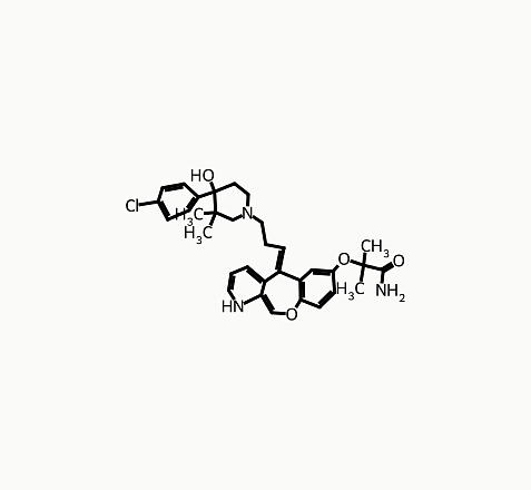 CC(C)(Oc1ccc2c(c1)/C(=C/CCN1CCC(O)(c3ccc(Cl)cc3)C(C)(C)C1)C1=CC=CNC1=CO2)C(N)=O